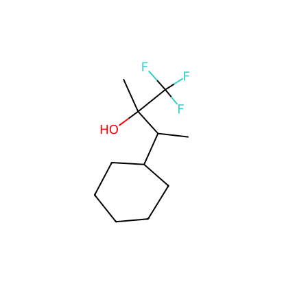 CC(C1CCCCC1)C(C)(O)C(F)(F)F